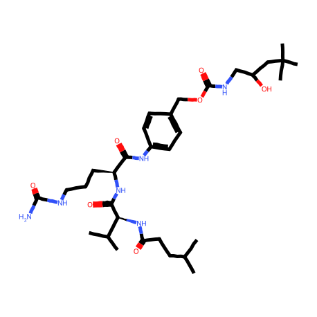 CC(C)CCC(=O)N[C@H](C(=O)N[C@@H](CCCNC(N)=O)C(=O)Nc1ccc(COC(=O)NCC(O)CC(C)(C)C)cc1)C(C)C